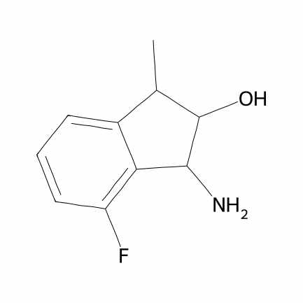 CC1c2cccc(F)c2C(N)C1O